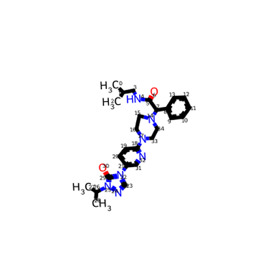 CC(C)CNC(=O)C(c1ccccc1)N1CCN(c2ccc(-n3cnn(C(C)C)c3=O)cn2)CC1